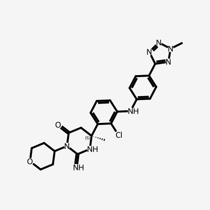 Cn1nnc(-c2ccc(Nc3cccc([C@]4(C)CC(=O)N(C5CCOCC5)C(=N)N4)c3Cl)cc2)n1